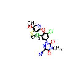 COc1cnc(Oc2c(Cl)cc(-n3nc(C#N)c(=O)n(C)c3=O)cc2Cl)cc1SC